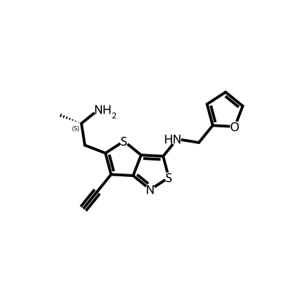 C#Cc1c(C[C@H](C)N)sc2c(NCc3ccco3)snc12